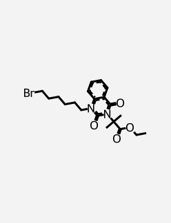 CCOC(=O)C(C)(C)n1c(=O)c2ccccc2n(CCCCCCBr)c1=O